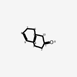 O=C1CCC2=C(CCC=C2)C1